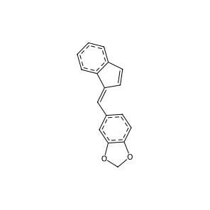 C1=Cc2ccccc2/C1=C/c1ccc2c(c1)OCO2